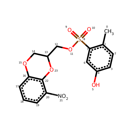 Cc1ccc(O)cc1S(=O)(=O)OCC1COc2cccc([N+](=O)[O-])c2O1